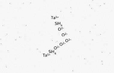 [O-2].[O-2].[O-2].[O-2].[O-2].[SiH4].[SiH4].[Ta+5].[Ta+5]